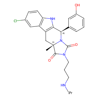 CC(C)NCCCN1C(=O)N2[C@H](c3cccc(O)c3)c3[nH]c4ccc(Cl)cc4c3C[C@@]2(C)C1=O